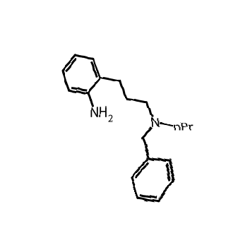 CCCN(CCCc1ccccc1N)Cc1ccccc1